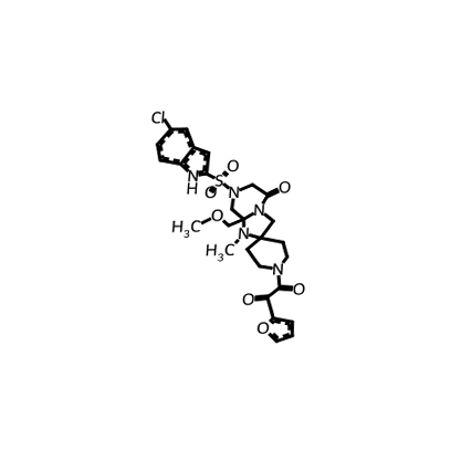 COCC12CN(S(=O)(=O)c3cc4cc(Cl)ccc4[nH]3)CC(=O)N1CC1(CCN(C(=O)C(=O)c3ccco3)CC1)N2C